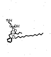 CCCCCCCCCCCCCCOc1ccccc1CC(COP(O)OCCNC)OC(=O)CCC